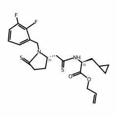 C=CCOC(=O)[C@H](CC1CC1)NC(=S)C[C@@H]1CCC(=S)N1Cc1cccc(F)c1F